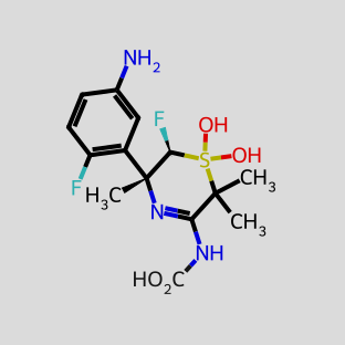 CC1(C)C(NC(=O)O)=N[C@](C)(c2cc(N)ccc2F)[C@@H](F)S1(O)O